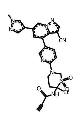 C#CC(=O)NC1(CC)CCN(c2ccc(-c3cc(-c4cnn(C)c4)cn4ncc(C#N)c34)cn2)CS1(=O)=O